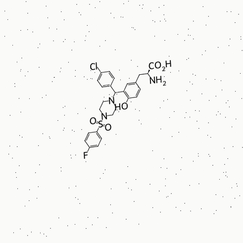 N[C@@H](Cc1ccc(O)c(C(c2ccc(Cl)cc2)N2CCN(S(=O)(=O)c3ccc(F)cc3)CC2)c1)C(=O)O